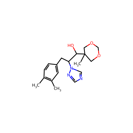 Cc1ccc(CC(C(O)C2(C)COCOC2)n2cncn2)cc1C